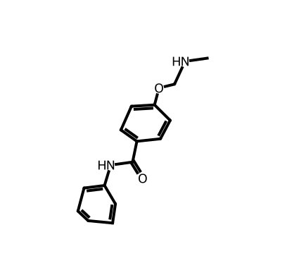 CNCOc1ccc(C(=O)Nc2ccccc2)cc1